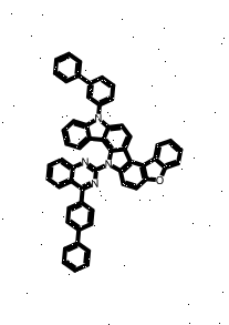 c1ccc(-c2ccc(-c3nc(-n4c5ccc6oc7ccccc7c6c5c5ccc6c(c7ccccc7n6-c6cccc(-c7ccccc7)c6)c54)nc4ccccc34)cc2)cc1